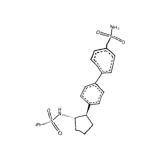 CC(C)S(=O)(=O)N[C@H]1CCC[C@@H]1c1ccc(-c2ccc(S(N)(=O)=O)cc2)cc1